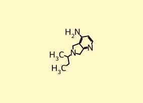 CCC(C)N1Cc2nccc(N)c2C1